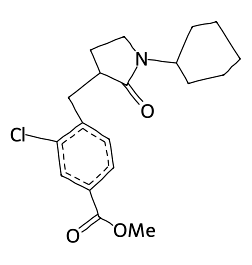 COC(=O)c1ccc(CC2CCN(C3CCCCC3)C2=O)c(Cl)c1